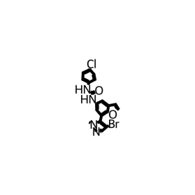 Cn1ncc(Br)c1-c1cc(NC(=O)Nc2ccc(Cl)cc2)cc2ccoc12